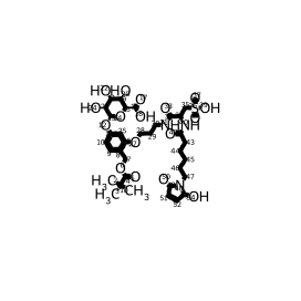 CC(C)(C)C(=O)OCc1ccc(O[C@@H]2O[C@H](C(=O)O)[C@@H](O)[C@H](O)[C@H]2O)cc1OCCCNC(=O)C(CS(=O)(=O)O)NC(=O)CCCCCN1C(=O)C=CC1O